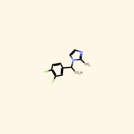 Cc1nccn1C(C(=O)O)c1ccc(F)c(F)c1